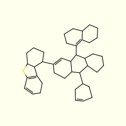 C1=CC2=C(CC1)C1C(CCCC1C1=CC3C(CC1)C(C1CC=CCC1)C1CCCCC1C3C1=C3CCCCC3CCC1)S2